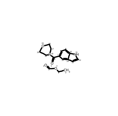 CCOC=O.O=C(c1ccc2[nH]ccc2c1)N1CCOCC1